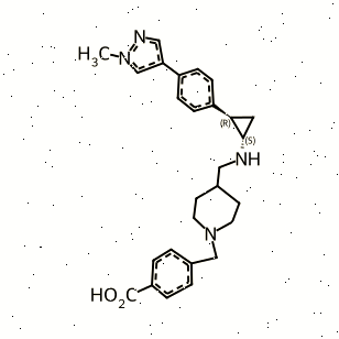 Cn1cc(-c2ccc([C@H]3C[C@@H]3NCC3CCN(Cc4ccc(C(=O)O)cc4)CC3)cc2)cn1